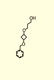 OCCCOC1CC(OCc2ccccc2)C1